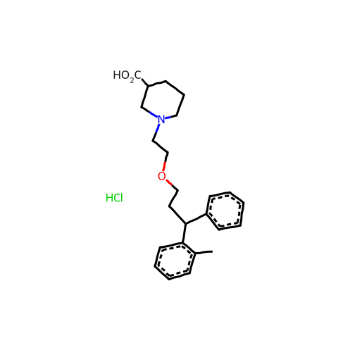 Cc1ccccc1C(CCOCCN1CCCC(C(=O)O)C1)c1ccccc1.Cl